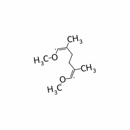 CO/[C]=C(/C)CC/C(C)=[C]\OC